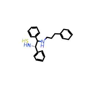 SN[C@@H](c1ccccc1)C(NCCCC1=CCC=CC1)c1ccccc1